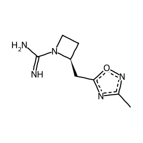 Cc1noc(C[C@@H]2CCN2C(=N)N)n1